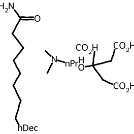 CCCCCCCCCCCCCCCCCC(N)=O.CCCN(C)C.O=C(O)CC(O)(CC(=O)O)C(=O)O